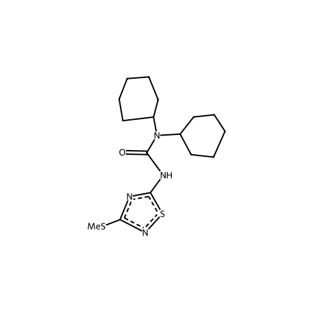 CSc1nsc(NC(=O)N(C2CCCCC2)C2CCCCC2)n1